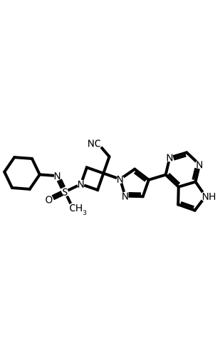 CS(=O)(=NC1CCCCC1)N1CC(CC#N)(n2cc(-c3ncnc4[nH]ccc34)cn2)C1